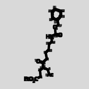 CCOC(=O)CCN(CC(C)=O)C(=O)CCCCCNC(=O)OCc1ccccc1